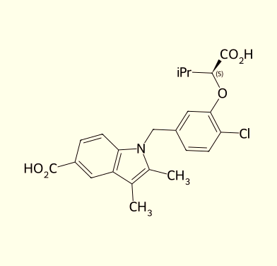 Cc1c(C)n(Cc2ccc(Cl)c(O[C@H](C(=O)O)C(C)C)c2)c2ccc(C(=O)O)cc12